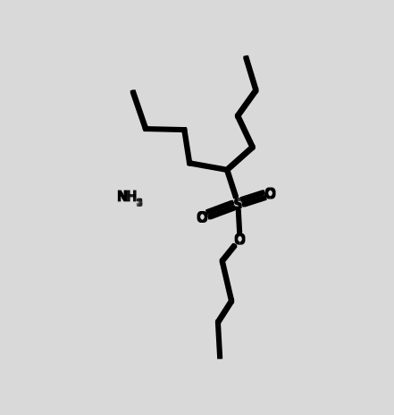 CCCCOS(=O)(=O)C(CCCC)CCCC.N